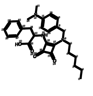 CCCCCCN(Cc1ccc(N(C)C)cc1)c1c(NC(Cc2ccccc2)C(=O)O)c(=O)c1=O